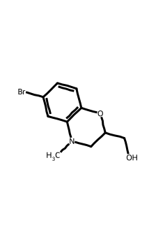 CN1CC(CO)Oc2ccc(Br)cc21